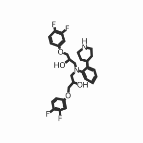 OC(COc1ccc(F)c(F)c1)CN(CC(O)COc1ccc(F)c(F)c1)c1ccccc1C1CCNCC1